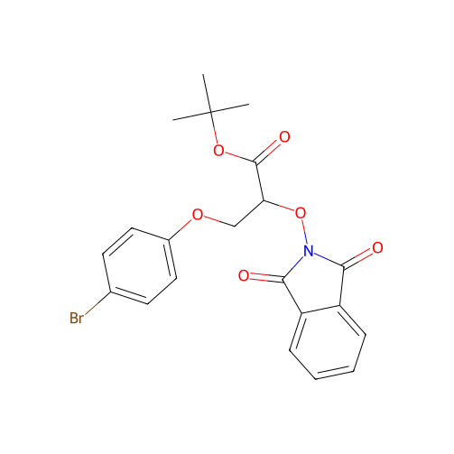 CC(C)(C)OC(=O)C(COc1ccc(Br)cc1)ON1C(=O)c2ccccc2C1=O